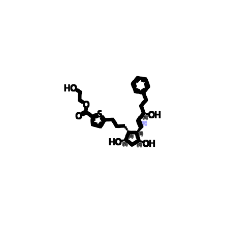 O=C(OCCO)c1ccc(CCC[C@@H]2[C@@H](/C=C/[C@@H](O)CCc3ccccc3)[C@H](O)C[C@@H]2O)s1